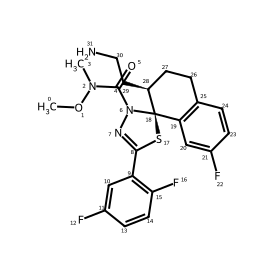 CON(C)C(=O)N1N=C(c2cc(F)ccc2F)S[C@@]12c1cc(F)ccc1CC[C@@H]2CCN